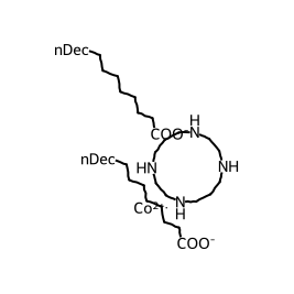 C1CNCCNCCCNCCNC1.CCCCCCCCCCCCCCCCCC(=O)[O-].CCCCCCCCCCCCCCCCCC(=O)[O-].[Co+2]